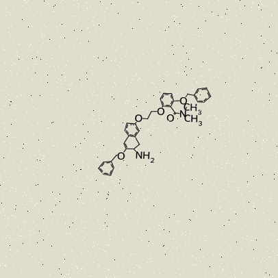 CN(C)C(=O)c1c(OCCOc2ccc3c(c2)CC(N)C(OCc2ccccc2)=C3)cccc1OCc1ccccc1